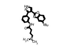 CN(C)CCCC(=O)Nc1cccc(-c2n[nH]cc2-c2nc3cc(C(C)(C)C)ccc3o2)c1